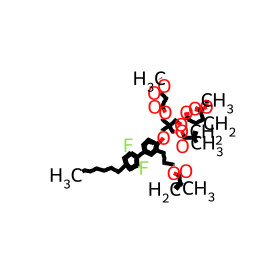 C=C(C)C(=O)OCCCc1cc(-c2c(F)cc(CCCCCCC)cc2F)ccc1OCC(COC(=O)CC(=C)C(=O)OC)(COC(=O)CC(=O)OC)COC(=O)C(=C)C